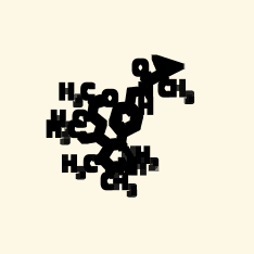 CCC(CC(C)C(C)=O)/C(=C(/N)c1ccc(CNC(=O)C2(C)CC2)cc1)C(C)C(C)=N